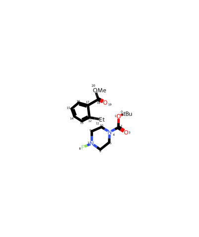 CC(C)(C)OC(=O)N1CCN(F)CC1.CCc1ccccc1C(=O)OC